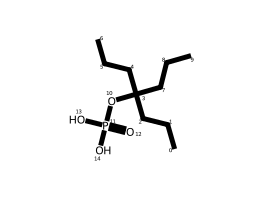 CCCC(CCC)(CCC)OP(=O)(O)O